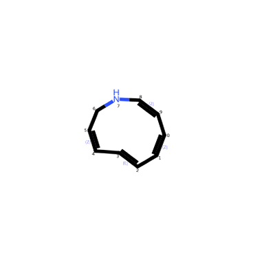 C1=C\C=C\C=C/CN\C=C/1